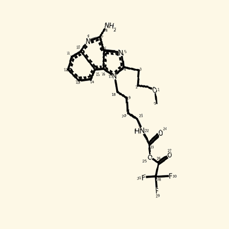 COCCc1nc2c(N)nc3ccccc3c2n1CCCCNC(=O)OC(=O)C(F)(F)F